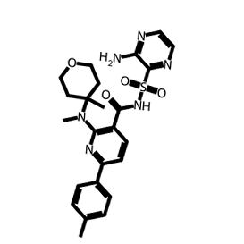 Cc1ccc(-c2ccc(C(=O)NS(=O)(=O)c3nccnc3N)c(N(C)C3(C)CCOCC3)n2)cc1